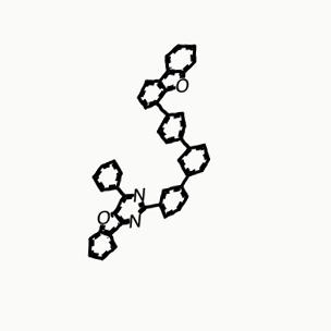 c1ccc(-c2nc(-c3cccc(-c4cccc(-c5ccc(-c6cccc7c6oc6ccccc67)cc5)c4)c3)nc3c2oc2ccccc23)cc1